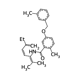 C=C(/C=C\C(NC(=O)c1cc(OCc2cccc(C)c2)ccc1C)=C(C)C)CC